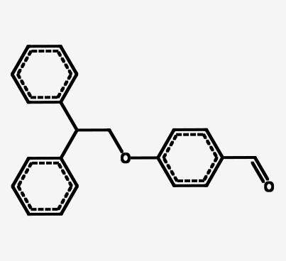 O=Cc1ccc(OCC(c2ccccc2)c2ccccc2)cc1